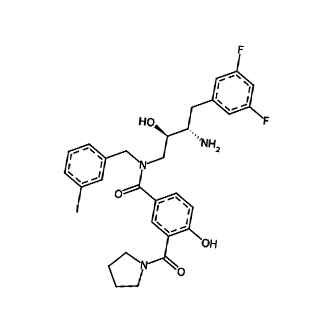 N[C@@H](Cc1cc(F)cc(F)c1)[C@H](O)CN(Cc1cccc(I)c1)C(=O)c1ccc(O)c(C(=O)N2CCCC2)c1